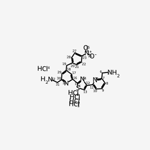 Cl.Cl.Cl.Cl.Cl.NCc1cccc(-c2csc(-c3cc(Cc4ccc([N+](=O)[O-])cc4)cc(CN)n3)n2)n1